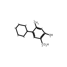 Cc1cc(O)c(C(=O)O)cc1C1CCCCC1